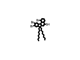 CCCCCCCCC1(CCCCCCCC)c2cc(Br)c(Br)cc2-c2c1cc(S)c1cccc(Br)c21